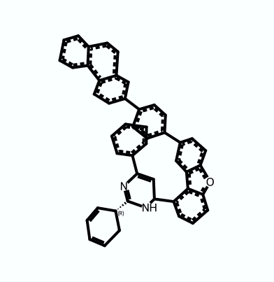 C1=CC[C@@H](C2=NC(c3ccccc3)=CC(c3cccc4oc5ccc(-c6ccc(-c7ccc8c(ccc9ccccc98)c7)cc6)cc5c34)N2)C=C1